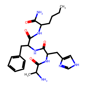 CCCCC(NC(=O)C(Cc1ccccc1)NC(=O)C(Cc1c[nH]cn1)NC(=O)C(C)N)C(N)=O